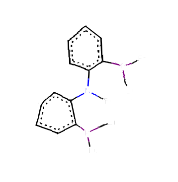 CCN(c1ccccc1P(CC)CC)c1ccccc1P(CC)CC